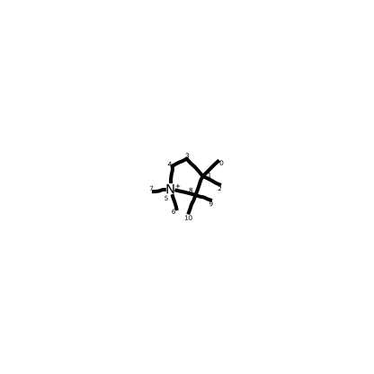 CC1(C)CC[N+](C)(C)C1(C)C